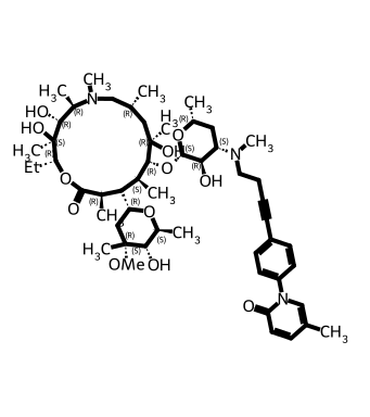 CC[C@H]1OC(=O)[C@H](C)C([C@H]2C[C@@](C)(OC)[C@@H](O)[C@H](C)O2)[C@H](C)[C@@H](O[C@@H]2O[C@H](C)C[C@H](N(C)CCC#Cc3ccc(-n4cc(C)ccc4=O)cc3)[C@H]2O)[C@](C)(O)C[C@@H](C)CN(C)[C@H](C)[C@@H](O)[C@]1(C)O